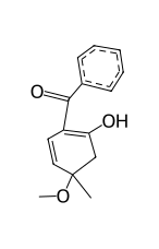 COC1(C)C=CC(C(=O)c2ccccc2)=C(O)C1